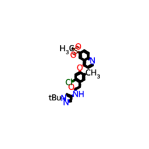 Cc1cc(CC(=O)Nc2cnn(C(C)(C)C)c2)c(Cl)cc1Oc1ccnc2ccc(S(C)(=O)=O)cc12